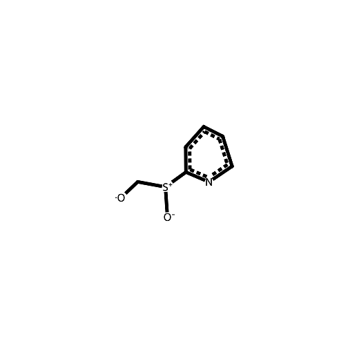 [O]C[S+]([O-])c1ccccn1